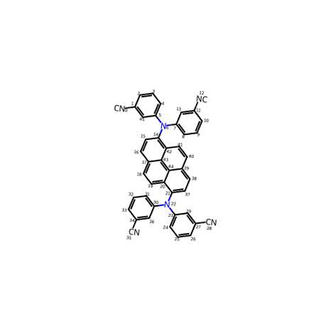 [C-]#[N+]c1cccc(N(c2cccc([N+]#[C-])c2)c2ccc3ccc4c(N(c5cccc(C#N)c5)c5cccc(C#N)c5)ccc5ccc2c3c54)c1